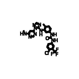 CNc1cc(-n2ncnc2Nc2cc(NC(=O)Nc3ccc(Cl)c(C(F)(F)F)c3)ccc2C)ncn1